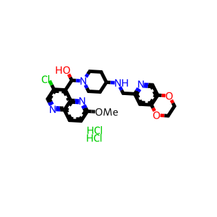 COc1ccc2ncc(Cl)c(C(O)N3CCC(NCc4cc5c(cn4)OCCO5)CC3)c2n1.Cl.Cl